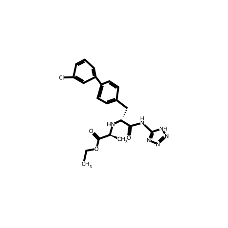 CCOC(=O)[C@H](C)N[C@H](Cc1ccc(-c2cccc(Cl)c2)cc1)C(=O)Nc1nnn[nH]1